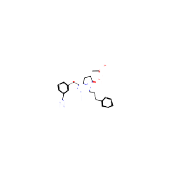 COC(=O)C[C@@H]1C[C@@H](C(N)C(=O)c2cccc(C#N)c2)N(CCCc2ccccc2)C1=O